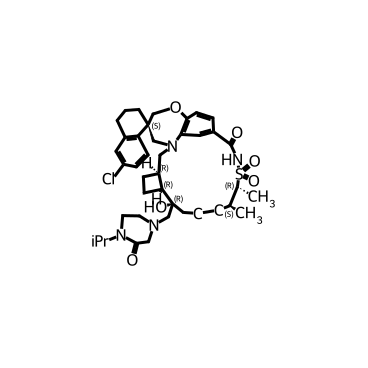 CC(C)N1CCN(C[C@@]2(O)CCC[C@H](C)[C@@H](C)S(=O)(=O)NC(=O)c3ccc4c(c3)N(C[C@@H]3CC[C@H]32)C[C@@]2(CCCc3cc(Cl)ccc32)CO4)CC1=O